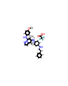 CCOc1ccc(Nc2c(C)c(N[C@H]3CC[C@H](NCCc4ccccc4)CC3)c(C#N)c3ccnn23)cc1.O=C(O)C(F)(F)F